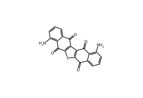 Nc1cccc2c(=O)c3c(sc4c(=O)c5cccc(N)c5c(=O)c43)c(=O)c12